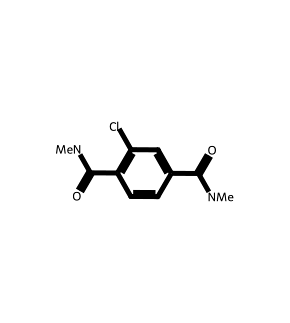 CNC(=O)c1ccc(C(=O)NC)c(Cl)c1